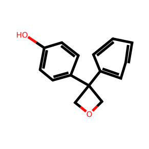 Oc1ccc(C2(c3ccccc3)COC2)cc1